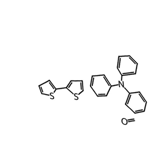 C=O.c1ccc(N(c2ccccc2)c2ccccc2)cc1.c1csc(-c2cccs2)c1